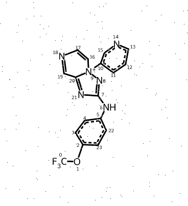 FC(F)(F)Oc1ccc(NC2=N[N+]3(c4cccnc4)C=CN=CC3=N2)cc1